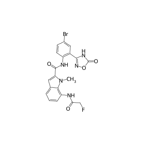 Cn1c(C(=O)Nc2ccc(Br)cc2-c2noc(=O)[nH]2)cc2cccc(NC(=O)CF)c21